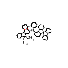 CC1(C)c2ccccc2-c2ccc(N(c3ccccc3-c3ccccc3)c3cccc4c3C3=C(C=CCC3)C43c4ccccc4-c4ccccc43)cc21